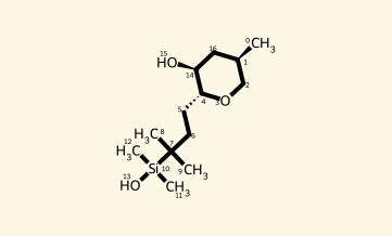 C[C@H]1CO[C@H](CCC(C)(C)[Si](C)(C)O)[C@@H](O)C1